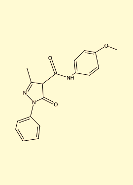 COc1ccc(NC(=O)C2C(=O)N(c3ccccc3)N=C2C)cc1